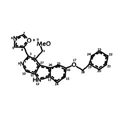 COCc1c(-c2cnco2)ncc2[nH]c3ccc(OCc4ccccc4)cc3c12